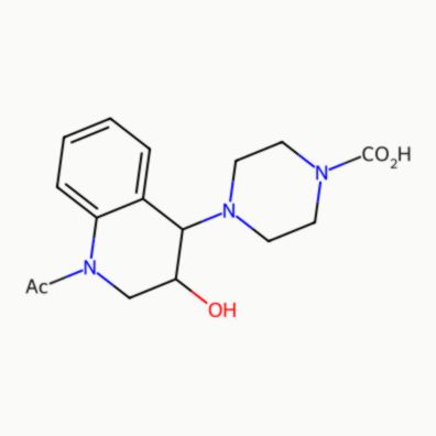 CC(=O)N1CC(O)C(N2CCN(C(=O)O)CC2)c2ccccc21